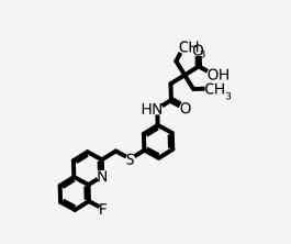 CCC(CC)(CC(=O)Nc1cccc(SCc2ccc3cccc(F)c3n2)c1)C(=O)O